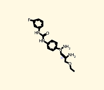 CCOC/C(N)=C/N(N)c1ccc(NC(=O)Nc2cccc(F)c2)cc1